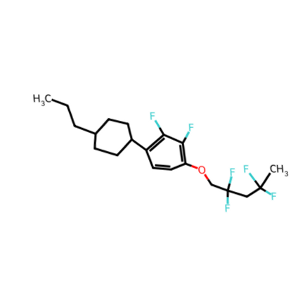 CCCC1CCC(c2ccc(OCC(F)(F)CC(C)(F)F)c(F)c2F)CC1